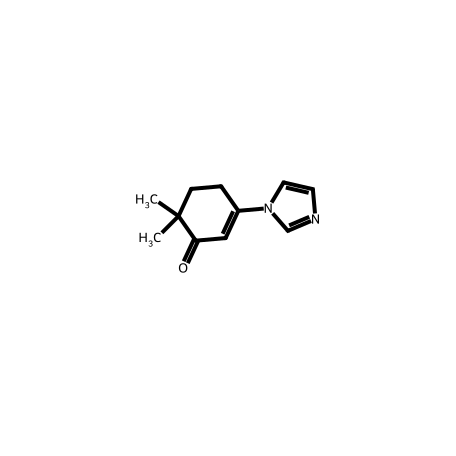 CC1(C)CCC(n2ccnc2)=CC1=O